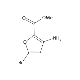 COC(=O)c1oc(Br)cc1N